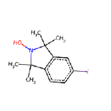 CC1(C)c2ccc(I)cc2C(C)(C)N1O